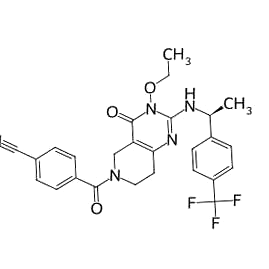 CCOn1c(N[C@@H](C)c2ccc(C(F)(F)F)cc2)nc2c(c1=O)CN(C(=O)c1ccc(C#N)cc1)CC2